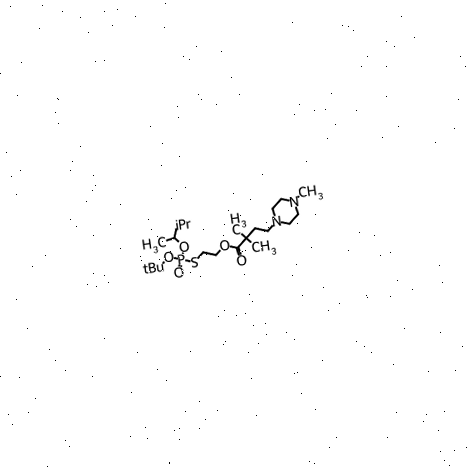 CC(C)C(C)OP(=O)(OC(C)(C)C)SCCOC(=O)C(C)(C)CCN1CCN(C)CC1